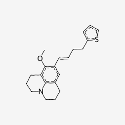 COc1c(/C=C/CCc2cccs2)cc2c3c1CCCN3CCC2